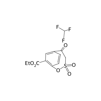 CCOC(=O)c1cc2ccc1OS(=O)(=O)CC2=O.FC(F)F